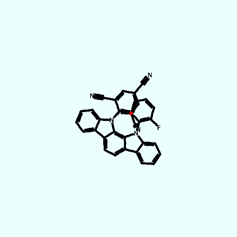 N#Cc1cc(C#N)c(-n2c3ccccc3c3ccc4c5ccccc5n(-c5c(F)cccc5F)c4c32)c(C#N)c1